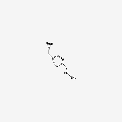 BNCc1ccc(CN2B=B2)cc1